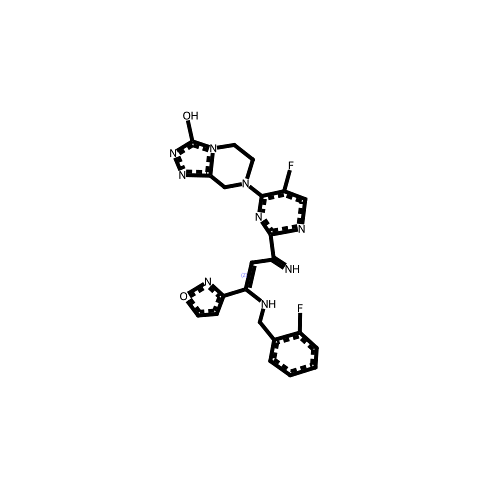 N=C(/C=C(\NCc1ccccc1F)c1ccon1)c1ncc(F)c(N2CCn3c(O)nnc3C2)n1